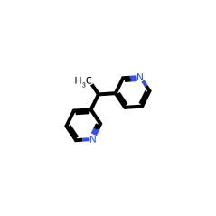 CC(c1cccnc1)c1cccnc1